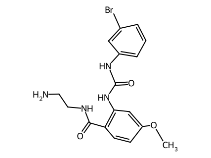 COc1ccc(C(=O)NCCN)c(NC(=O)Nc2cccc(Br)c2)c1